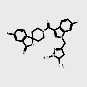 CC1CC(Cn2cc(C(=O)N3CCC4(CC3)OC(=O)c3cc(F)ccc34)c3ccc(Cl)cc32)=NN1C